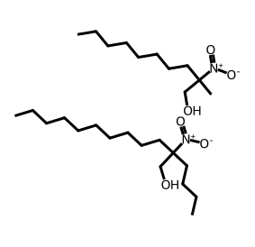 CCCCCCCCC(C)(CO)[N+](=O)[O-].CCCCCCCCCCC(CO)(CCCC)[N+](=O)[O-]